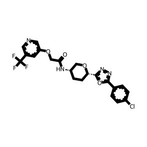 O=C(COc1cncc(C(F)(F)F)c1)N[C@H]1CC[C@@H](c2nnc(-c3ccc(Cl)cc3)o2)OC1